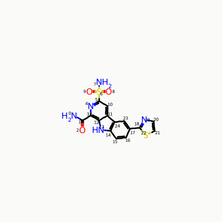 NC(=O)c1nc(S(N)(=O)=O)cc2c1[nH]c1ccc(-c3nccs3)cc12